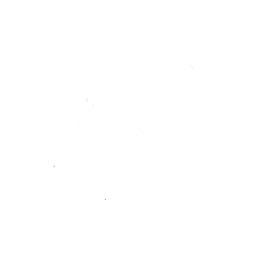 CC(C)(C)c1ccc(Sc2cc(Sc3ccc(C(C)(C)C)cc3)cc(Sc3ccc(C(C)(C)C)cc3)c2)cc1